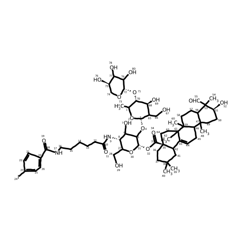 CC1O[C@@H](OC2C(O)[C@@H](NC(=O)CCCCCNC(=O)c3ccc(I)cc3)C(CO)O[C@H]2OC(=O)[C@]23CCC(C)(C)CC2C2=CCC4C5(C)CC[C@H](O)C(C)(C=O)C5CCC4(C)C2(C)CC3)C(CO)[C@H](O)[C@H]1O[C@@H]1OC[C@@H](O)C(O)C1O